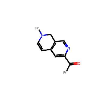 CC(C)C(=O)c1cc2c(cn1)CN(C(C)C)C=C2